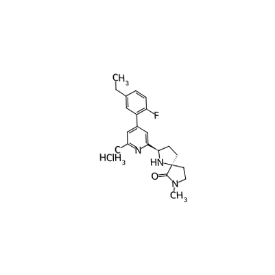 CCc1ccc(F)c(-c2cc(C)nc([C@H]3CC[C@@]4(CCN(C)C4=O)N3)c2)c1.Cl